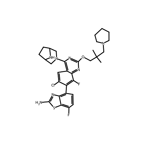 CC(C)(COc1nc(N2CC3CCC(C2)N3)c2cc(Cl)c(-c3ccc(F)c4sc(N)nc34)c(F)c2n1)CN1CCCCC1